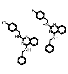 Clc1ccc(CNc2nc(NCc3ccccc3)c3ccccc3n2)cc1.Fc1ccc(CNc2nc(NCc3ccccc3)c3ccccc3n2)cc1